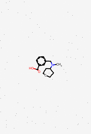 CN(Cc1cccc(C(=O)O)c1)C1CCCCC1